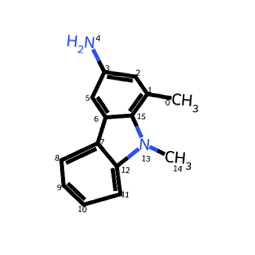 Cc1cc(N)cc2c3ccccc3n(C)c12